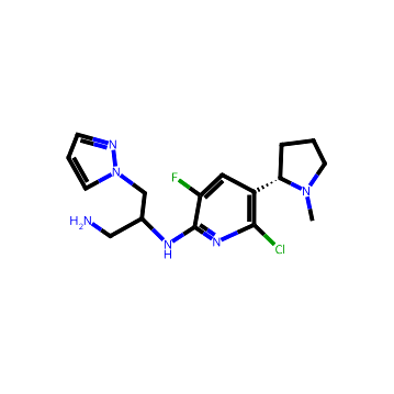 CN1CCC[C@H]1c1cc(F)c(NC(CN)Cn2cccn2)nc1Cl